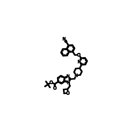 CC(C)(C)OC(=O)c1ccc2nc(CN3CCC(c4cccc(OCc5ccc(C#N)c6ccccc56)n4)CC3)n(CC3CCO3)c2c1